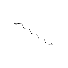 CC(=O)CCCCCCCCC(C)=O